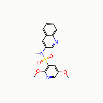 COc1cnc(OC)c(S(=O)(=O)N(C)c2cnc3ccccc3c2)c1